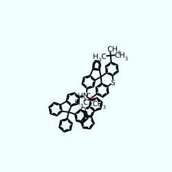 CC(C)(C)c1ccc2c(c1)C1(c3cc(C(C)(C)C)ccc3S2)c2ccccc2-c2ccc(N(c3ccc4c(c3)C(c3ccccc3)(c3ccccc3)c3ccccc3-4)c3cccc4c3oc3ccccc34)cc21